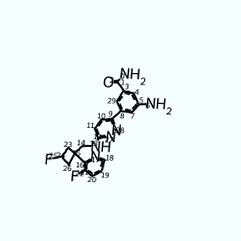 NC(=O)c1cc(N)cc(-c2ccc(NCC3(c4ncccc4F)CC(F)C3)nn2)c1